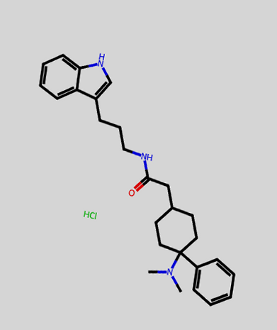 CN(C)C1(c2ccccc2)CCC(CC(=O)NCCCc2c[nH]c3ccccc23)CC1.Cl